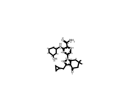 CC1(C)CC(=O)c2c(CC3CC3)nn(-c3cnc(C(N)=O)c(NC4CCCC(O)C4)n3)c2C1